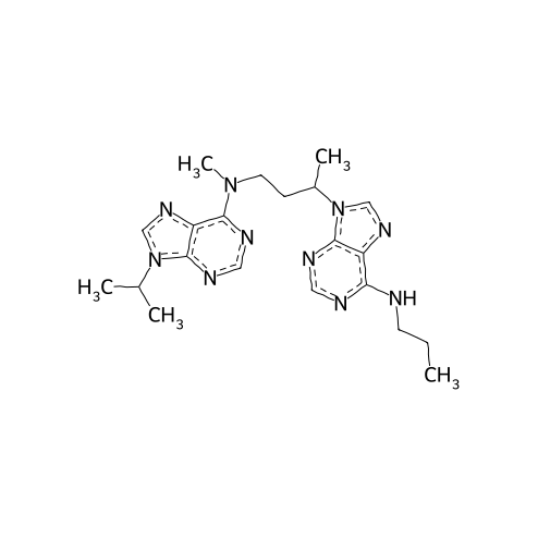 CCCNc1ncnc2c1ncn2C(C)CCN(C)c1ncnc2c1ncn2C(C)C